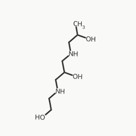 CC(O)CNCC(O)CNCCO